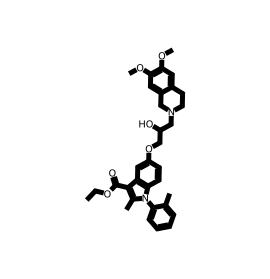 CCOC(=O)c1c(C)n(-c2ccccc2C)c2ccc(OCC(O)CN3CCc4cc(OC)c(OC)cc4C3)cc12